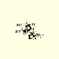 CC(C)(C)OC(=O)N1CCC(C)(C)C1C(=O)O.CC1(C)CCNC1C(=O)O